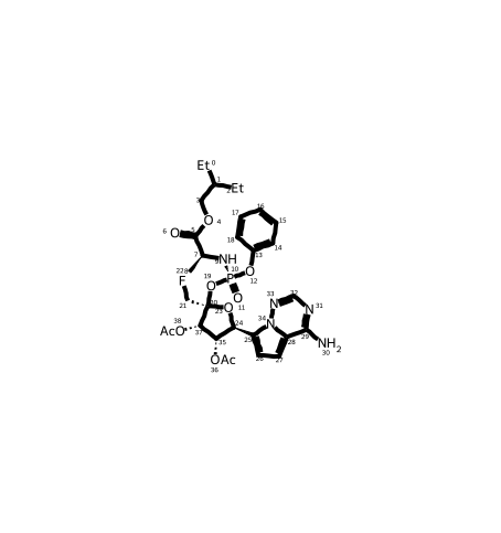 CCC(CC)COC(=O)[C@H](C)N[P@@](=O)(Oc1ccccc1)O[C@@]1(CF)O[C@@H](c2ccc3c(N)ncnn23)[C@H](OC(C)=O)[C@@H]1OC(C)=O